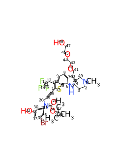 CN1CCC(Nc2cccc3c(CC(F)(F)F)c(C#CCN(C(=O)OC(C)(C)C)c4cc(O)cc(Br)c4)sc23)C(CCOCCOCCO)C1